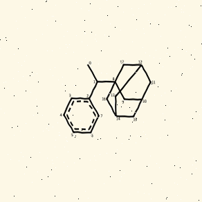 CC(c1ccccc1)C12CC3CC(CC(C3)C1)C2